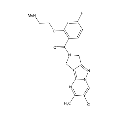 CNCCOc1cc(F)ccc1C(=O)N1Cc2nn3cc(Cl)c(C)nc3c2C1